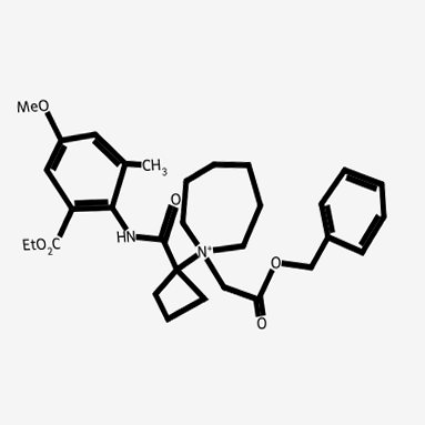 CCOC(=O)c1cc(OC)cc(C)c1NC(=O)C1([N+]2(CC(=O)OCc3ccccc3)CCCCCC2)CCC1